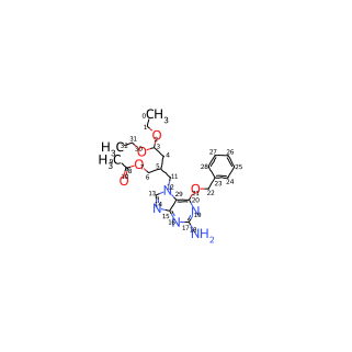 CCOC(CC(COC(C)=O)Cn1cnc2nc(N)nc(OCc3ccccc3)c21)OCC